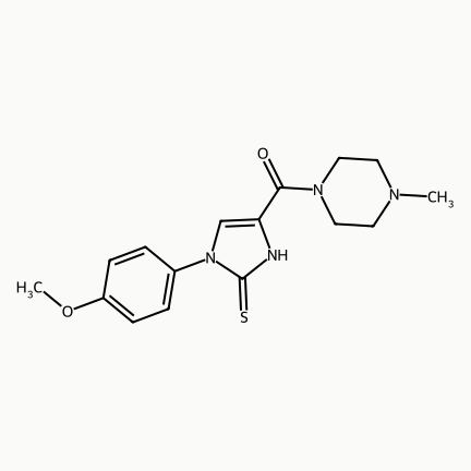 COc1ccc(-n2cc(C(=O)N3CCN(C)CC3)[nH]c2=S)cc1